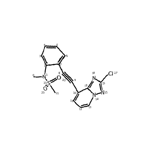 CN(c1ccccc1C#Cc1cccn2nc(Cl)nc12)S(C)(=O)=O